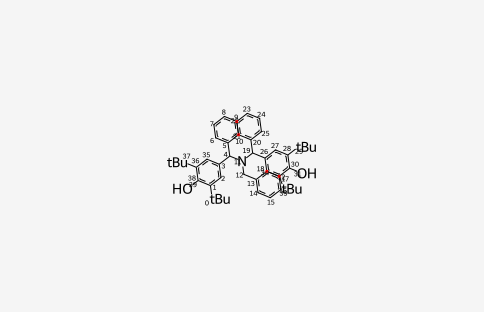 CC(C)(C)c1cc(C(c2ccccc2)N(Cc2ccccc2)C(c2ccccc2)c2cc(C(C)(C)C)c(O)c(C(C)(C)C)c2)cc(C(C)(C)C)c1O